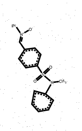 CC(C)[N+]([O-])=Cc1ccc(S(=O)(=O)N(C)c2ccccc2)cc1